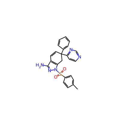 Cc1ccc(S(=O)(=O)n2nc(N)c3c2CC(c2ccccc2)(c2ccncn2)C=C3)cc1